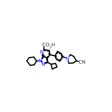 N#CC1CCN(c2ccc(-c3cc(C(=O)O)nc4c3c(C3CCC3)nn4C3CCCCC3)cc2)CC1